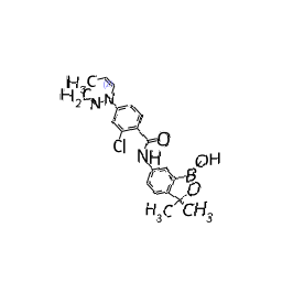 C=NN(/C=C\C)c1ccc(C(=O)Nc2ccc3c(c2)B(O)OC3(C)C)c(Cl)c1